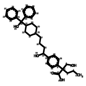 CCCC(CO)(C(=O)O)c1ccc(C(O)CCCN2CCC(C(O)(c3ccccc3)c3ccccc3)CC2)cc1